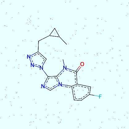 CC1CC1Cc1cn(-c2ncn3c4ccc(F)cc4c(=O)n(C)c23)nn1